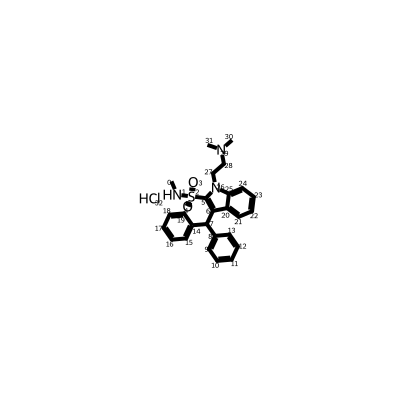 CNS(=O)(=O)c1c(C(c2ccccc2)c2ccccc2)c2ccccc2n1CCN(C)C.Cl